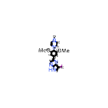 COc1cc(-c2cnc3[nH]cc(I)c3n2)cc(OC)c1N1CCN(C)CC1